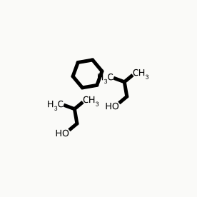 C1CCCCC1.CC(C)CO.CC(C)CO